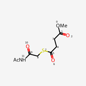 COC(=O)CCC(=O)SCC(=O)NC(C)=O